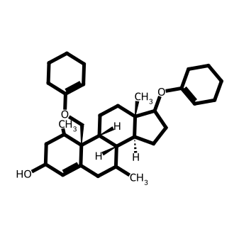 CC1CC2=CC(O)CC(C)[C@]2(COC2=CCCCC2)[C@@H]2CC[C@]3(C)C(OC4=CCCCC4)CC[C@H]3[C@H]12